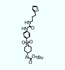 CN(C(=O)OC(C)(C)C)C1CCN(S(=O)(=O)c2ccc(NC(=O)NCCCc3cccs3)cc2)CC1